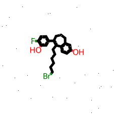 Oc1ccc2c(c1)CCCC(c1ccc(F)c(O)c1)=C2CCCCCCBr